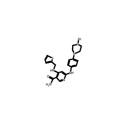 CC(=O)N1CCN(c2ccc(Nc3cc(NCc4cccs4)c(C(N)=O)cn3)cc2)CC1